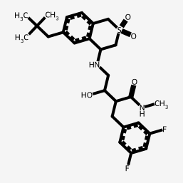 CNC(=O)C(Cc1cc(F)cc(F)c1)C(O)CNC1CS(=O)(=O)Cc2ccc(CC(C)(C)C)cc21